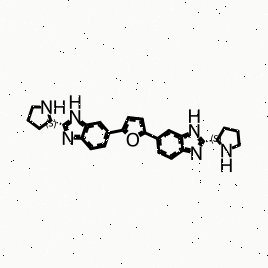 c1cc2nc([C@@H]3CCCN3)[nH]c2cc1-c1ccc(-c2ccc3nc([C@@H]4CCCN4)[nH]c3c2)o1